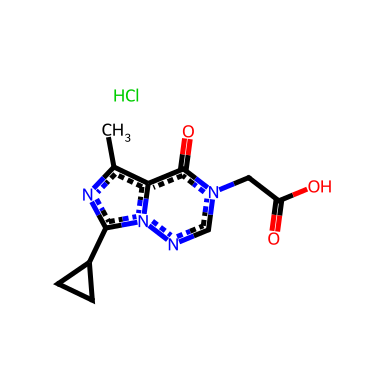 Cc1nc(C2CC2)n2ncn(CC(=O)O)c(=O)c12.Cl